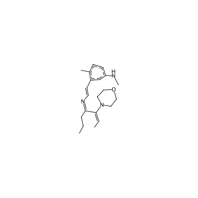 C\C=C(/C(CCC)=N\C=C\c1cc(NC)ccc1C)N1CCOCC1